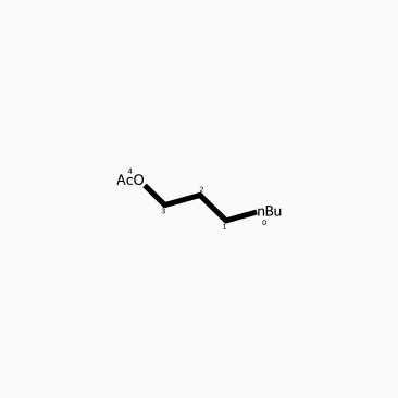 CCCCCC[CH]OC(C)=O